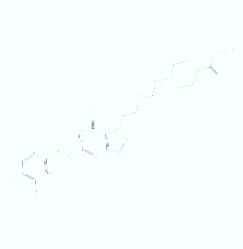 CC(C)(C)OC(=O)N1CCN(CCOCCn2ncc3nc(NCc4ccc(Cl)c(Cl)c4)[nH]c(=O)c32)CC1